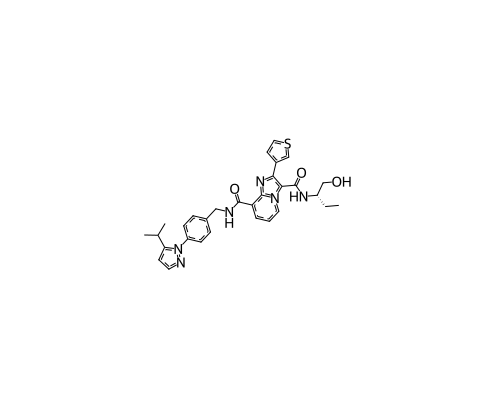 CC[C@@H](CO)NC(=O)c1c(-c2ccsc2)nc2c(C(=O)NCc3ccc(-n4nccc4C(C)C)cc3)cccn12